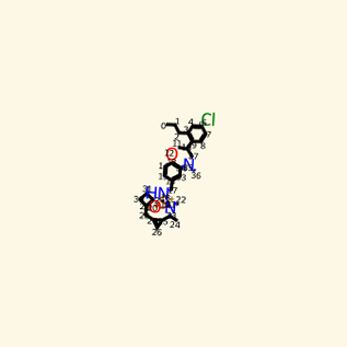 CCCc1cc(Cl)ccc1C1COc2ccc(CN[S+]([O-])N(C)C(C)C3C=C3CC3CCC3)cc2N(C)C1